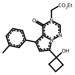 CCOC(=O)Cn1cnn2c(C3(O)CCC3)cc(-c3cccc(C)c3)c2c1=O